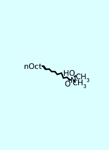 CCCCCCCCC=CCCCCCCCC(=O)N(C)C(C)O